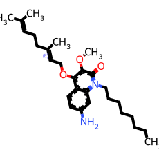 CCCCCCCCn1c(=O)c(OC)c(OC/C=C(\C)CCC=C(C)C)c2ccc(N)cc21